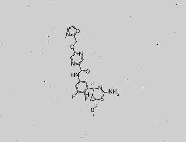 COC[C@]12C[C@H]1[C@@](C)(c1cc(NC(=O)c3cnc(OCc4ncco4)cn3)cc(F)c1F)N=C(N)S2